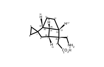 NC[C@@]1(CC(=O)O)[C@@H]2CC3(CC3)[C@@H]3CC[C@H]1[C@@H]32